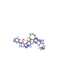 O=C(Nc1cccnc1)c1cnn2ccc(C3=CCCCc4nc(NC5CCC(F)(F)CC5)ncc43)cc12